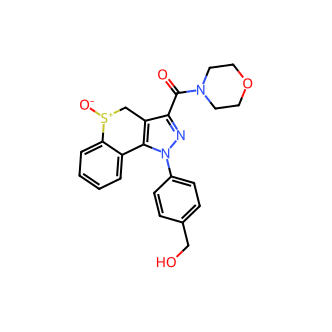 O=C(c1nn(-c2ccc(CO)cc2)c2c1C[S+]([O-])c1ccccc1-2)N1CCOCC1